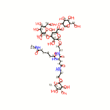 CCNC(=O)CCCCC(=O)NC(CCC(=O)NCCO[C@@H]1O[C@@H](C)[C@@H](O)[C@@H](O)[C@@H]1O)C(=O)NCCOC1O[C@H](CO[C@H]2O[C@H](CO)[C@@H](O)[C@H](O)[C@@H]2O)[C@@H](O)[C@H](O[C@H]2O[C@H](CO)[C@@H](O)[C@H](O)[C@@H]2O)[C@@H]1O